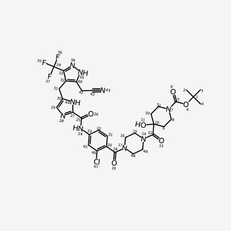 CC(C)(C)OC(=O)N1CCC(O)(C(=O)N2CCN(C(=O)c3ccc(NC(=O)c4ncc(Cc5c(C(F)(F)F)n[nH]c5CC#N)[nH]4)cc3Cl)CC2)CC1